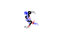 COCCc1nc(-c2cnc([C@@H]3CCc4nc(-c5cc(C)ccc5-n5cnnn5)cc(=O)n43)[nH]2)ccc1OC(N)=O